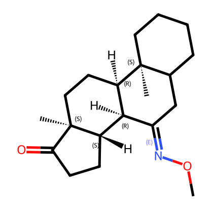 CO/N=C1\CC2CCCC[C@]2(C)[C@@H]2CC[C@]3(C)C(=O)CC[C@H]3[C@H]12